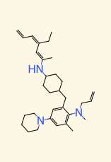 C=C/C=C(\C=C(/C)NC1CCC(Cc2cc(N3CCCCC3)cc(C)c2N(C)CC=C)CC1)CC